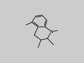 Cc1cccc2c1CC(C)C(C)N2C